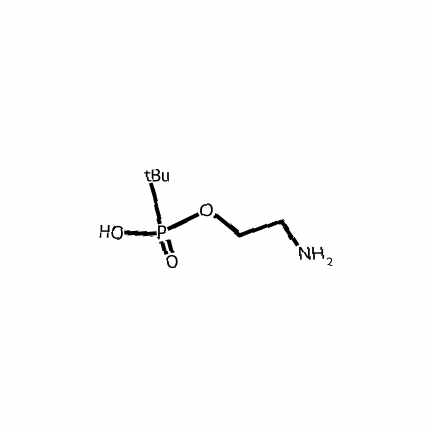 CC(C)(C)P(=O)(O)OCCN